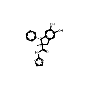 C[C@]1(C(=O)Nc2nccs2)Cc2cc(O)c(O)cc2[C@H]1c1ccccc1